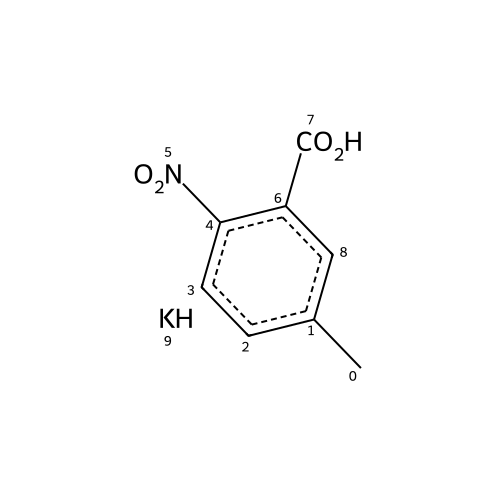 Cc1ccc([N+](=O)[O-])c(C(=O)O)c1.[KH]